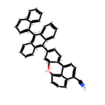 N#Cc1ccc2c3c(cccc13)Oc1cc(-c3c4ccccc4c(-c4cccc5ccccc45)c4ccccc34)ccc1-2